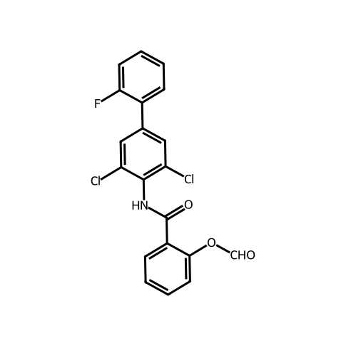 O=COc1ccccc1C(=O)Nc1c(Cl)cc(-c2ccccc2F)cc1Cl